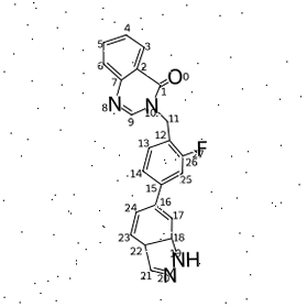 O=c1c2ccccc2ncn1Cc1ccc(C2=CC3NN=CC3C=C2)cc1F